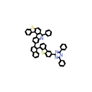 c1ccc(-c2nc(-c3ccccc3)nc(-c3ccc4sc5c(-c6c(-c7ccc8c(c7)nc(-c7ccccc7)c7ccc9sc%10ccccc%10c9c78)ccc7ccccc67)cccc5c4c3)n2)cc1